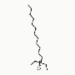 CCCCCCCCCCCCP(=O)(CC)CC